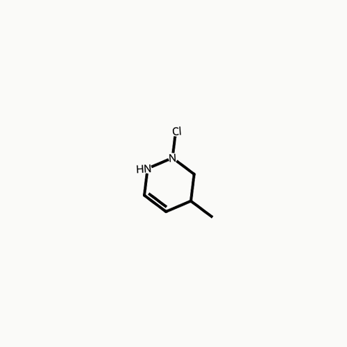 CC1C=CNN(Cl)C1